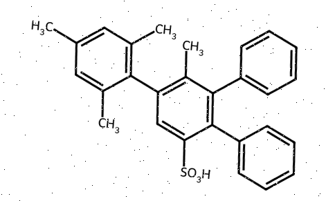 Cc1cc(C)c(-c2cc(S(=O)(=O)O)c(-c3ccccc3)c(-c3ccccc3)c2C)c(C)c1